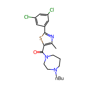 CCCCN1CCCN(C(=O)c2sc(-c3cc(Cl)cc(Cl)c3)nc2C)CC1